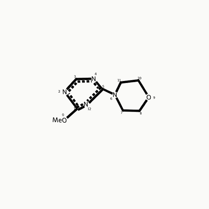 COc1ncnc(N2CCOCC2)n1